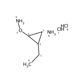 CCC1CC1ON.Cl.Cl.N